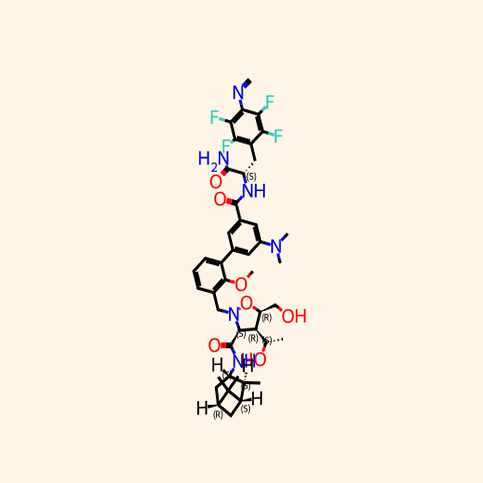 C=Nc1c(F)c(F)c(C[C@H](NC(=O)c2cc(-c3cccc(CN4O[C@@H](CO)[C@@H]([C@H](C)O)[C@H]4C(=O)N[C@H]4C[C@H]5C[C@@H]([C@@H]4C)C5(C)C)c3OC)cc(N(C)C)c2)C(N)=O)c(F)c1F